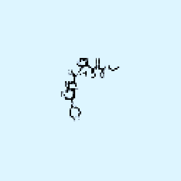 CCOC(=O)NC(=O)c1ccsc1NC(=O)c1nc2ncc(N3CCOCC3)cc2s1